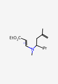 C=C(C)CC(C(C)C)N(C)/C=C/C(=O)OCC